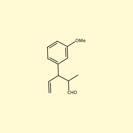 C=CC(c1cccc(OC)c1)C(C)C=O